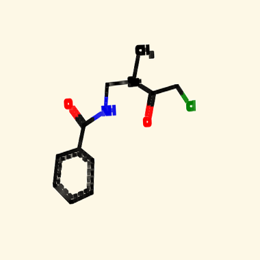 [CH3][Sn]([CH2]NC(=O)c1ccccc1)[C](=O)CCl